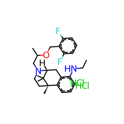 CCNc1cccc2c1C[C@H]1N(CC(C)OCc3c(F)cccc3F)CC[C@]2(C)C1(C)C.Cl.Cl